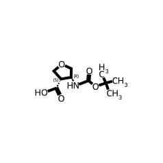 CC(C)(C)OC(=O)N[C@H]1COC[C@H]1C(=O)O